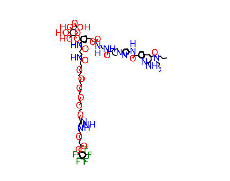 CCCN(CCC)C(=O)C1=Cc2ccc(C(=O)Nc3ccc(N4CCC(C(=O)NCCNC(=O)OCc5ccc(O[C@@H]6O[C@H](C(=O)O)C(O)[C@H](O)C6O)c(NC(=O)CCNC(=O)CCOCCOCCOCCOCCOCCOC/C(=C/NCCOCCC(=O)Oc6c(F)c(F)c(F)c(F)c6F)N=N)c5)CC4)nc3)cc2N=C(N)C1